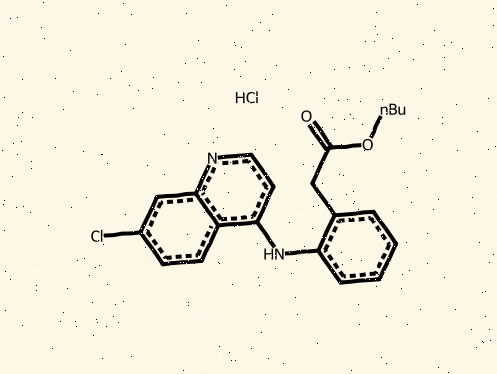 CCCCOC(=O)Cc1ccccc1Nc1ccnc2cc(Cl)ccc12.Cl